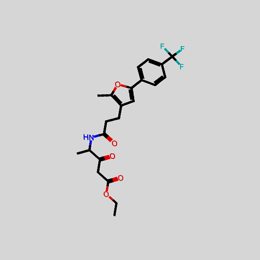 CCOC(=O)CC(=O)C(C)NC(=O)CCc1cc(-c2ccc(C(F)(F)F)cc2)oc1C